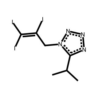 CC(C)c1nnnn1CC(I)=C(I)I